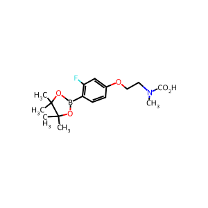 CN(CCOc1ccc(B2OC(C)(C)C(C)(C)O2)c(F)c1)C(=O)O